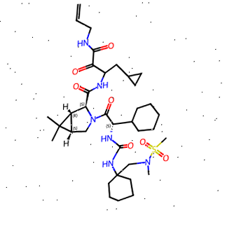 C=CCNC(=O)C(=O)C(CC1CC1)NC(=O)[C@@H]1[C@@H]2[C@H](CN1C(=O)[C@@H](NC(=O)NC1(CN(C)S(C)(=O)=O)CCCCC1)C1CCCCC1)C2(C)C